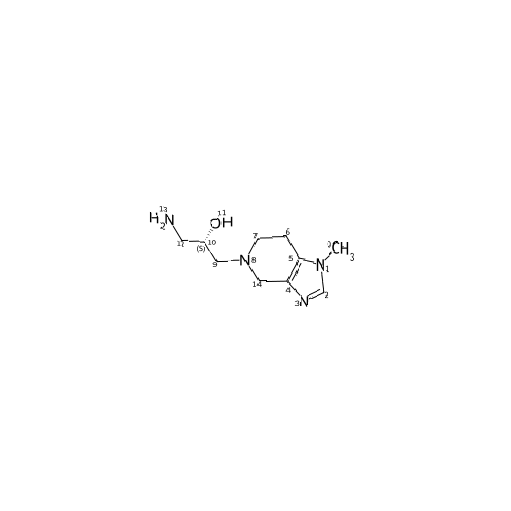 Cn1cnc2c1CCN(C[C@@H](O)CN)C2